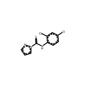 S=C(Nc1ccc(Cl)cc1Cl)n1cccn1